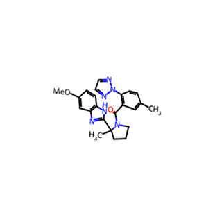 COc1ccc2[nH]c(C3(C)CCCN3C(=O)c3cc(C)ccc3-n3nccn3)nc2c1